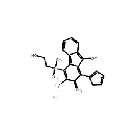 C=c1c(C)c([Si](C)(C)CCO)c2c(c1C1=CC=CC1)[C]([Zr+2])=c1ccccc1=2.[Cl-].[Cl-]